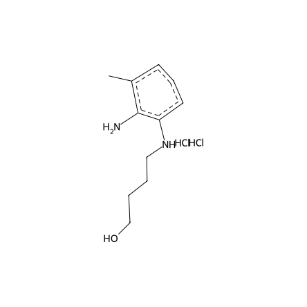 Cc1cccc(NCCCCO)c1N.Cl.Cl